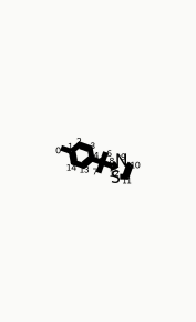 Cc1ccc(C(C)(C)c2nccs2)cc1